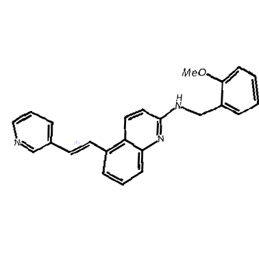 COc1ccccc1CNc1ccc2c(/C=C/c3cccnc3)cccc2n1